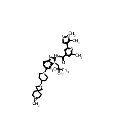 Cc1cc(C(=O)Nc2nc3ccc(N4CCC(N5CC6(CCN(C)CC6)C5)CC4)cc3n2CC(C)(C)O)cc(-c2cnn(C)c2C)n1